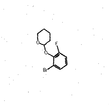 Fc1cccc(Br)c1OC1CCCCO1